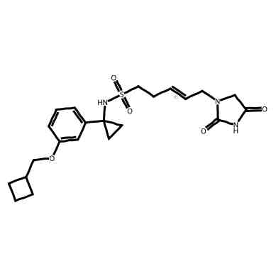 O=C1CN(C/C=C/CCS(=O)(=O)NC2(c3cccc(OCC4CCC4)c3)CC2)C(=O)N1